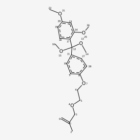 C=C(C)COCCOc1ccc(C(OC)(OC)c2ccc(OC)cc2OC)cc1